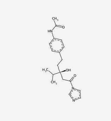 CC(=O)Nc1ccc(CC[C@](O)(CC(=O)n2ccnc2)C(C)C)cc1